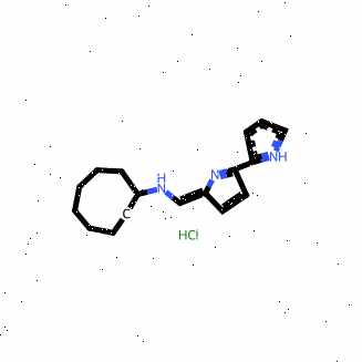 C1=CC(c2ccc[nH]2)=NC1=CNC1CCCCCCC1.Cl